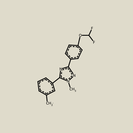 [CH2]c1cccc(-c2nc(-c3ccc(OC(F)F)cc3)nn2C)c1